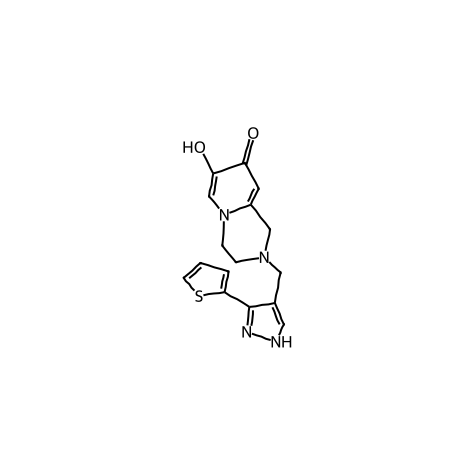 O=c1cc2n(cc1O)CCN(Cc1c[nH]nc1-c1cccs1)C2